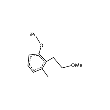 COCCc1c(C)cccc1OC(C)C